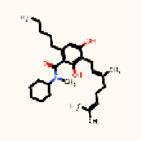 CCCCCc1cc(O)c(C/C=C(\C)CCC=C(C)C)c(O)c1C(=O)N(C)C1CCCCC1